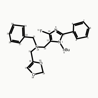 CCCCn1c(-c2ccccc2)nc(F)c1CN(CC1=COCO1)Cc1ccccc1